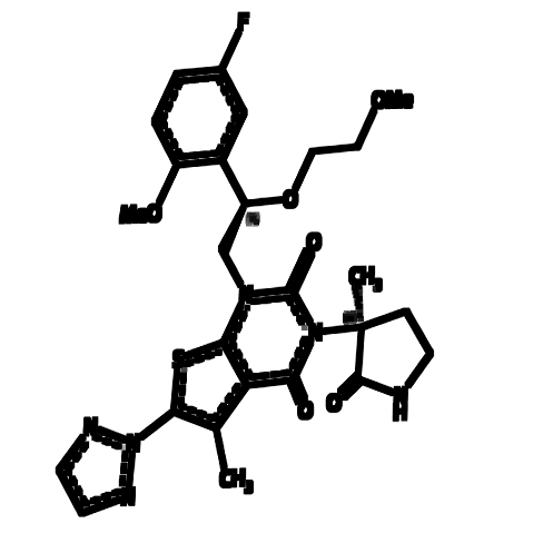 COCCO[C@@H](Cn1c(=O)n([C@@]2(C)CCNC2=O)c(=O)c2c(C)c(-n3nccn3)sc21)c1cc(F)ccc1OC